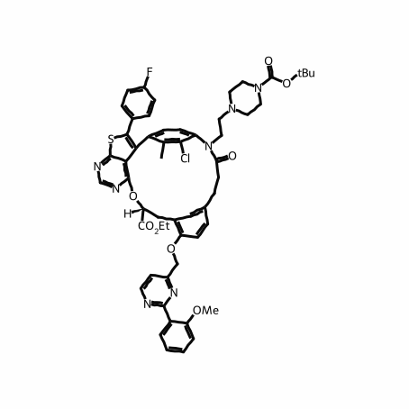 CCOC(=O)[C@H]1Cc2cc(ccc2OCc2ccnc(-c3ccccc3OC)n2)CCC(=O)N(CCN2CCN(C(=O)OC(C)(C)C)CC2)c2ccc(c(C)c2Cl)-c2c(-c3ccc(F)cc3)sc3ncnc(c23)O1